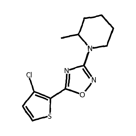 CC1CCCCN1c1noc(-c2sccc2Cl)n1